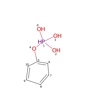 O[PH](O)(O)Oc1ccccc1